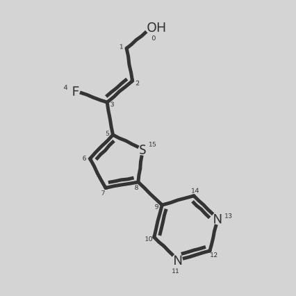 OCC=C(F)c1ccc(-c2cncnc2)s1